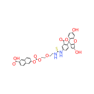 O=C(OCCOCCNC(=S)Nc1ccc2c(c1)C(=O)OC21c2ccc(O)cc2Oc2cc(O)ccc21)Oc1ccc2cc(C(=O)O)ccc2c1